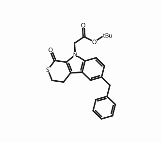 CC(C)(C)OC(=O)Cn1c2c(c3cc(Cc4ccccc4)ccc31)CCSC2=O